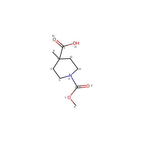 COC(=O)N1CCC(C)(C(=O)O)CC1